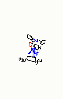 CC(C)(C)c1cc(N/N=C(\C#N)C(=O)c2cn(Cc3ccccc3)c3ccccc23)cc(C(C)(C)C)c1